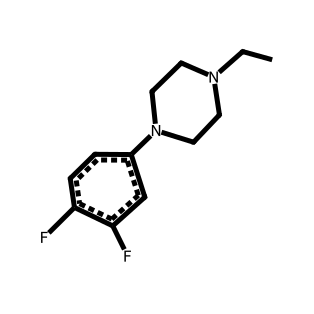 CCN1CCN(c2ccc(F)c(F)c2)CC1